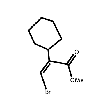 COC(=O)C(=CBr)C1CCCCC1